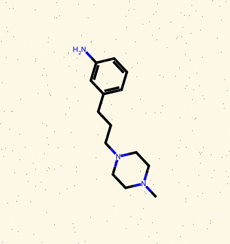 CN1CCN(CCCc2cccc(N)c2)CC1